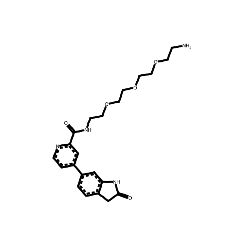 NCCOCCOCCOCCNC(=O)c1cc(-c2ccc3c(c2)NC(=O)C3)ccn1